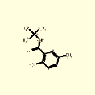 Cc1ccc(N)c(C(=O)NC(C)(C)C)c1